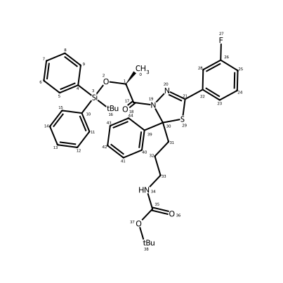 C[C@H](O[Si](c1ccccc1)(c1ccccc1)C(C)(C)C)C(=O)N1N=C(c2cccc(F)c2)SC1(CCCNC(=O)OC(C)(C)C)c1ccccc1